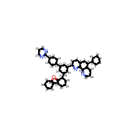 c1ccc(-c2cc3ccc(-c4cc(-c5ccc(-c6ncccn6)cc5)cc(-c5cccc6c5oc5ccccc56)c4)nc3c3ncccc23)cc1